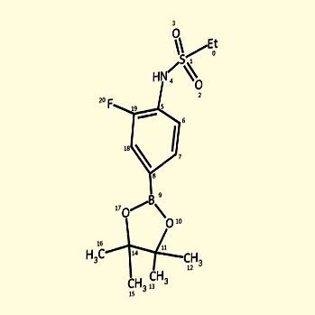 CCS(=O)(=O)Nc1ccc(B2OC(C)(C)C(C)(C)O2)cc1F